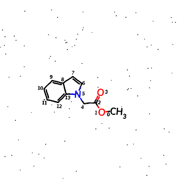 COC(=O)Cn1ccc2cc[c]cc21